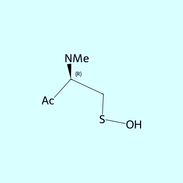 CN[C@@H](CSO)C(C)=O